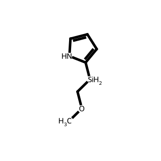 COC[SiH2]c1ccc[nH]1